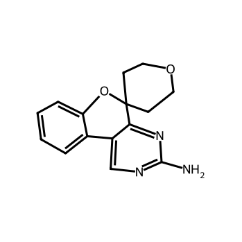 Nc1ncc2c(n1)C1(CCOCC1)Oc1ccccc1-2